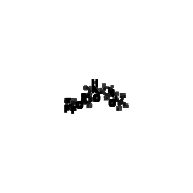 CC(NC(=O)C1CCN(CC(=O)C(C)(C)C)C1)c1ccc(OCC(F)(F)F)s1